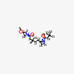 COC1CN(C(=O)CC(C)(C)CCC2CCN2C(=O)CC(C)(C)C)C1